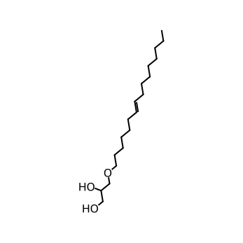 CCCCCCCCC=CCCCCCCOCC(O)CO